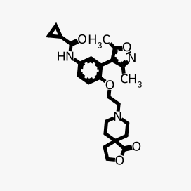 Cc1noc(C)c1-c1cc(NC(=O)C2CC2)ccc1OCCN1CCC2(CCOC2=O)CC1